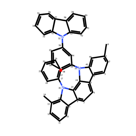 Cc1ccc2c3ccc4c5cccc(C)c5n(-c5ccccc5)c4c3n(-c3cccc(-n4c5ccccc5c5ccccc54)c3)c2c1